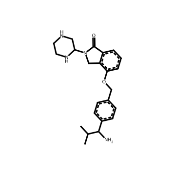 CC(C)C(N)c1ccc(COc2cccc3c2CN(C2CNCCN2)C3=O)cc1